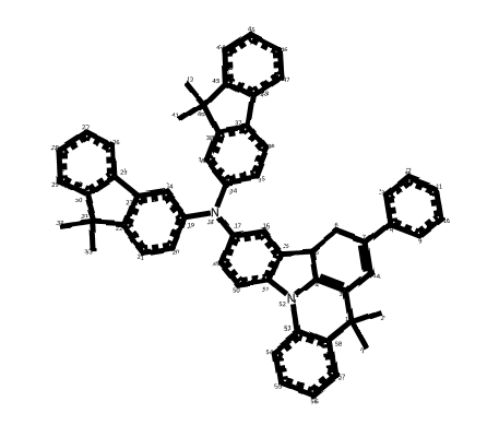 CC1(C)C2=C3C(CC(c4ccccc4)=C2)c2cc(N(c4ccc5c(c4)-c4ccccc4C5(C)C)c4ccc5c(c4)C(C)(C)c4ccccc4-5)ccc2N3c2ccccc21